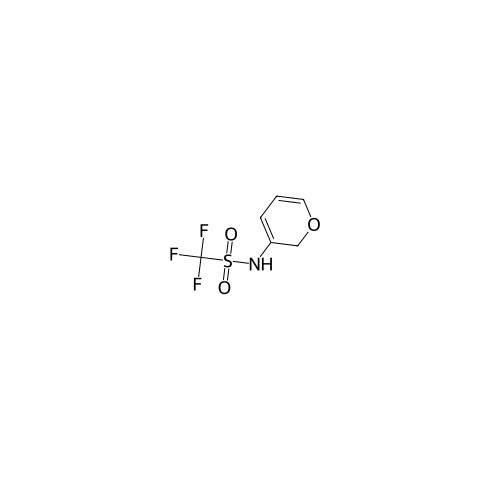 O=S(=O)(NC1=CC=COC1)C(F)(F)F